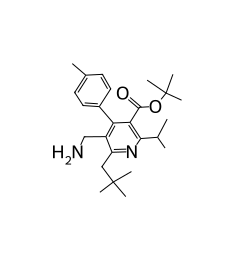 Cc1ccc(-c2c(CN)c(CC(C)(C)C)nc(C(C)C)c2C(=O)OC(C)(C)C)cc1